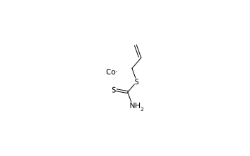 C=CCSC(N)=S.[Co]